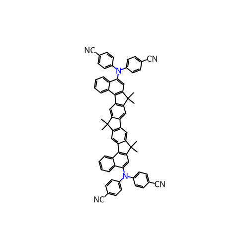 CC1(C)c2cc3c(cc2-c2cc4c(cc21)-c1c(cc(N(c2ccc(C#N)cc2)c2ccc(C#N)cc2)c2ccccc12)C4(C)C)C(C)(C)c1cc(N(c2ccc(C#N)cc2)c2ccc(C#N)cc2)c2ccccc2c1-3